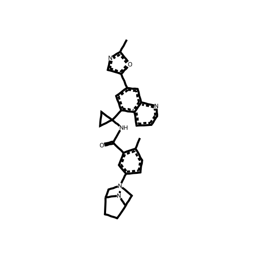 Cc1ncc(-c2cc(C3(NC(=O)c4cc(N5CC6CCC(C5)N6C)ccc4C)CC3)c3cccnc3c2)o1